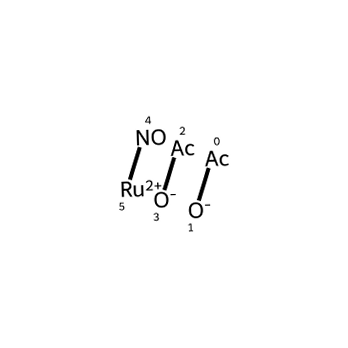 CC(=O)[O-].CC(=O)[O-].O=[N][Ru+2]